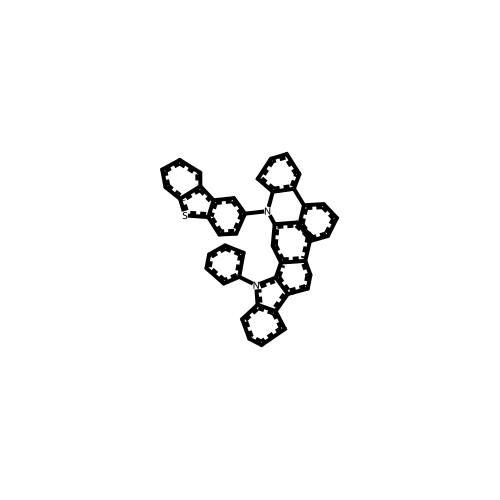 c1ccc(-c2ccccc2N(c2ccc3sc4ccccc4c3c2)c2ccc3ccc4c5ccccc5n(-c5ccccc5)c4c3c2)cc1